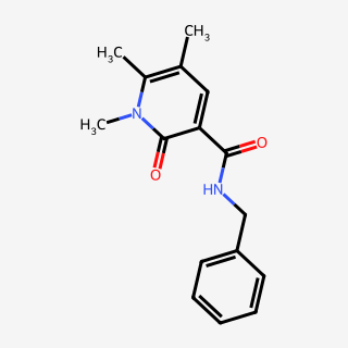 Cc1cc(C(=O)NCc2ccccc2)c(=O)n(C)c1C